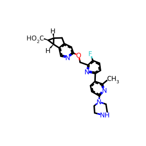 Cc1nc(N2CCNCC2)ccc1-c1ccc(F)c(COc2cc3c(cn2)[C@H]2[C@@H](C3)[C@@H]2C(=O)O)n1